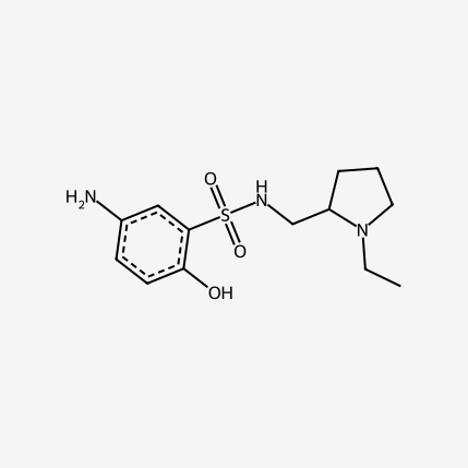 CCN1CCCC1CNS(=O)(=O)c1cc(N)ccc1O